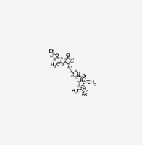 C=CCN(/C=C\C(=C)C(=C)CC(C)=O)C(=O)N1CCC(CCCc2ccc(Cl)cc2CC(=C)CC2CCC(CC)O2)CC1